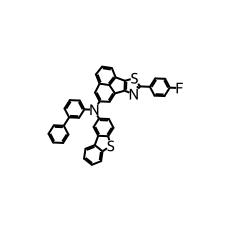 Fc1ccc(-c2nc3c(s2)-c2cccc4cc(N(c5cccc(-c6ccccc6)c5)c5ccc6sc7ccccc7c6c5)cc-3c24)cc1